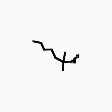 CCCCCC(C)(C)PCl